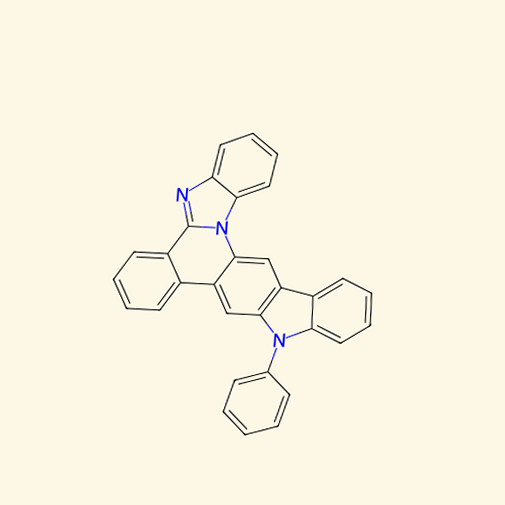 c1ccc(-n2c3ccccc3c3cc4c(cc32)c2ccccc2c2nc3ccccc3n42)cc1